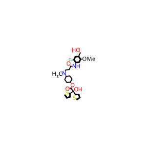 COc1cc(NC(=O)CCN(C)C2CCC(OC(=O)C(O)(c3cccs3)c3cccs3)CC2)c(F)cc1CO